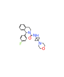 O=C(NC12CC1(N1CCOCC1)C2)N1CCc2ccccc2[C@@H]1c1ccc(F)cc1